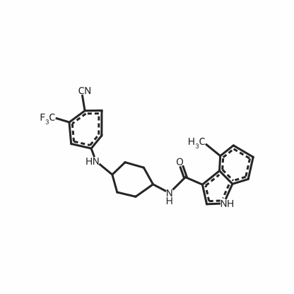 Cc1cccc2[nH]cc(C(=O)NC3CCC(Nc4ccc(C#N)c(C(F)(F)F)c4)CC3)c12